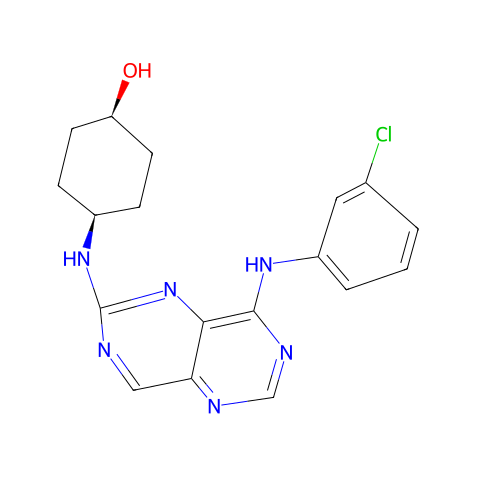 O[C@H]1CC[C@@H](Nc2ncc3ncnc(Nc4cccc(Cl)c4)c3n2)CC1